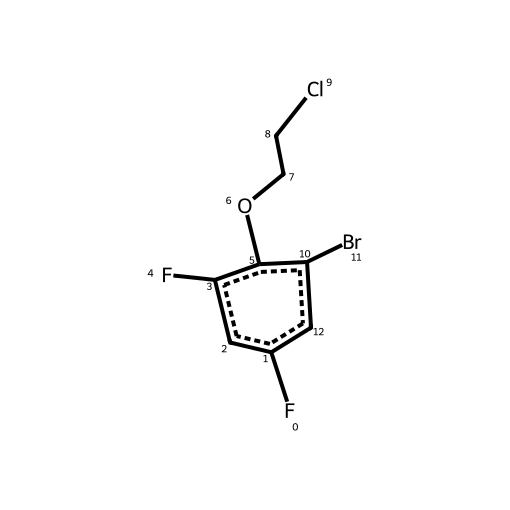 Fc1cc(F)c(OCCCl)c(Br)c1